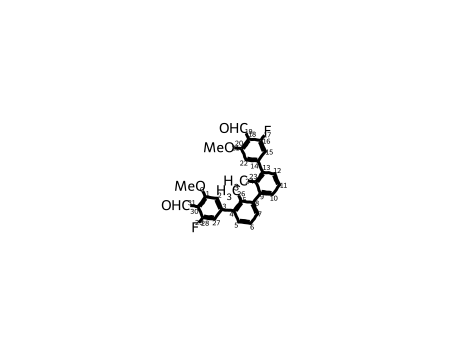 COc1cc(-c2cccc(-c3cccc(-c4cc(F)c(C=O)c(OC)c4)c3C)c2C)cc(F)c1C=O